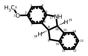 COc1ccc2c(c1)[C@@H]1Cc3ccccc3[C@@H]1N2